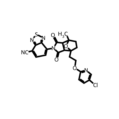 CC12CCC(CCOc3ccc(Cl)cn3)(O1)C1C(=O)N(c3ccc(C#N)c4nsnc34)C(=O)C12